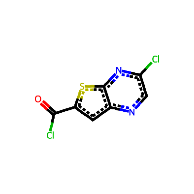 O=C(Cl)c1cc2ncc(Cl)nc2s1